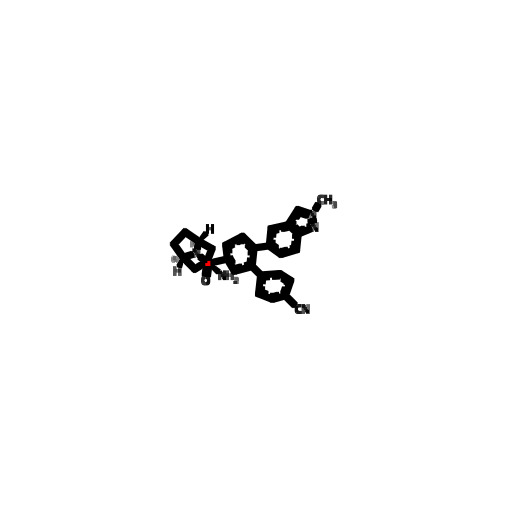 Cn1cc2cc(-c3ccc(C(=O)N4[C@@H]5CC[C@H]4C[C@H](N)C5)cc3-c3ccc(C#N)cc3)ccc2n1